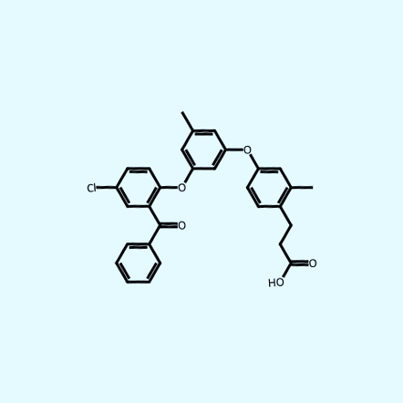 Cc1cc(Oc2ccc(CCC(=O)O)c(C)c2)cc(Oc2ccc(Cl)cc2C(=O)c2ccccc2)c1